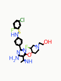 CC(=N)c1c(N)nc(-c2ccc(NSc3cc(Cl)ccc3F)cc2)nc1OC1CCN(CCO)CC1F